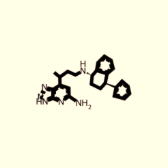 CC(CCN[C@H]1CC[C@H](c2ccccc2)c2ccccc21)c1cc(N)nc2[nH]nnc12